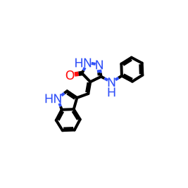 O=C1NN=C(Nc2ccccc2)/C1=C/c1c[nH]c2ccccc12